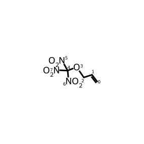 C=CCOC([N+](=O)[O-])([N+](=O)[O-])[N+](=O)[O-]